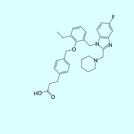 CCc1cccc(Cn2c(CN3CCCCC3)nc3cc(F)ccc32)c1OCc1ccc(CCC(=O)O)cc1